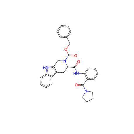 O=C(Nc1ccccc1C(=O)N1CCCC1)[C@H]1Cc2c([nH]c3ccccc23)CN1C(=O)OCc1ccccc1